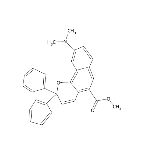 COC(=O)c1cc2ccc(N(C)C)cc2c2c1C=CC(c1ccccc1)(c1ccccc1)O2